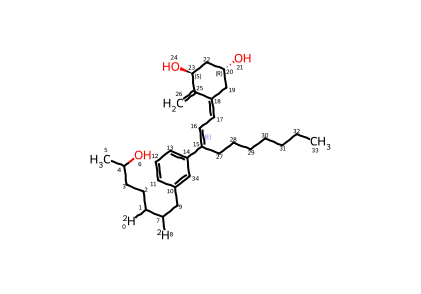 [2H]C(CCC(C)O)C([2H])Cc1cccc(/C(=C/C=C2C[C@@H](O)C[C@H](O)C2=C)CCCCCCC)c1